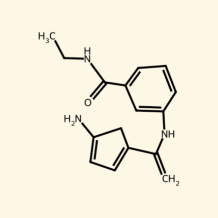 C=C(Nc1cccc(C(=O)NCC)c1)C1=CC=C(N)C1